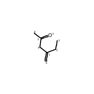 C=C(CC)CC(C)=O